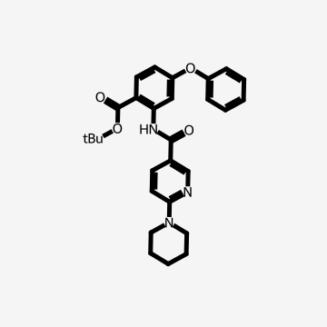 CC(C)(C)OC(=O)c1ccc(Oc2ccccc2)cc1NC(=O)c1ccc(N2CCCCC2)nc1